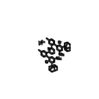 Cc1ccc(-c2cc(C(C)(C)C)cc(C34CC5CC(CC(C5)C3)C4)c2[O-])c(-c2cccc(-c3cc(C)ccc3-c3cc(C(C)(C)C)cc(C45CC6CC(CC(C6)C4)C5)c3[O-])n2)c1.[CH3][Hf+2][CH3]